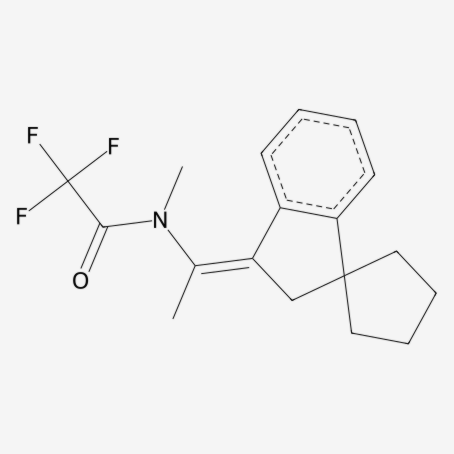 CC(=C1CC2(CCCC2)c2ccccc21)N(C)C(=O)C(F)(F)F